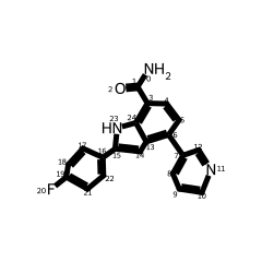 NC(=O)c1ccc(-c2cccnc2)c2cc(-c3ccc(F)cc3)[nH]c12